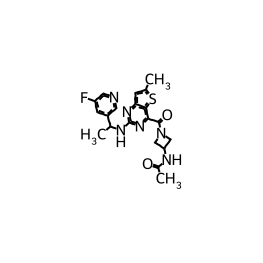 CC(=O)NC1CN(C(=O)c2nc(NC(C)c3cncc(F)c3)nc3cc(C)sc23)C1